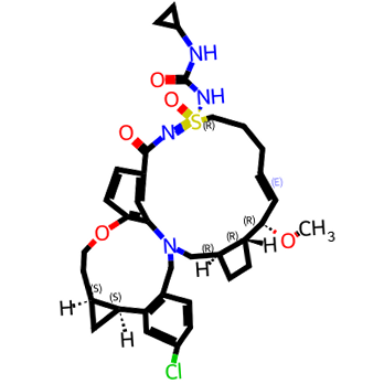 CO[C@H]1/C=C/CCC[S@@](=O)(NC(=O)NC2CC2)=NC(=O)c2ccc3c(c2)N(Cc2ccc(Cl)cc2[C@H]2C[C@H]2CCO3)C[C@@H]2CC[C@H]21